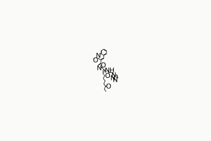 CCC(=O)CCCCC[C@H](NC(=O)Cn1ccnn1)c1ncc(-c2cc3ccccc3nc2OC)o1